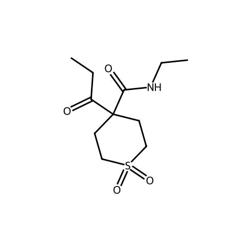 CCNC(=O)C1(C(=O)CC)CCS(=O)(=O)CC1